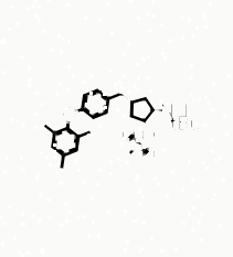 Cc1cc(C)c(Oc2ccc(C[C@H]3C[C@@H](NC(C)(C)C)[C@H](OS(C)(=O)=O)C3)cc2)c(C)c1